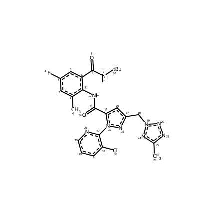 Cc1cc(F)cc(C(=O)NC(C)(C)C)c1NC(=O)c1cc(Cn2nnc(C(F)(F)F)n2)nn1-c1ncccc1Cl